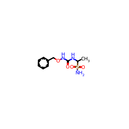 CC(NC(=O)NOCc1ccccc1)S(N)(=O)=O